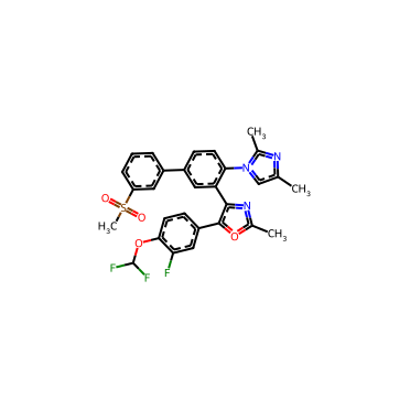 Cc1cn(-c2ccc(-c3cccc(S(C)(=O)=O)c3)cc2-c2nc(C)oc2-c2ccc(OC(F)F)c(F)c2)c(C)n1